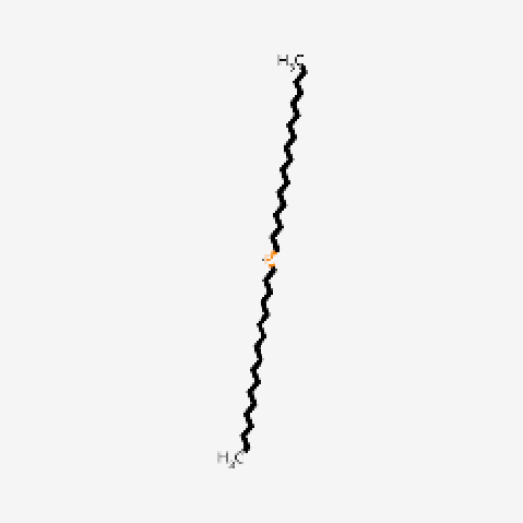 CCCCCCCCCCCCCCCCCC[P]CCCCCCCCCCCCCCCCCC